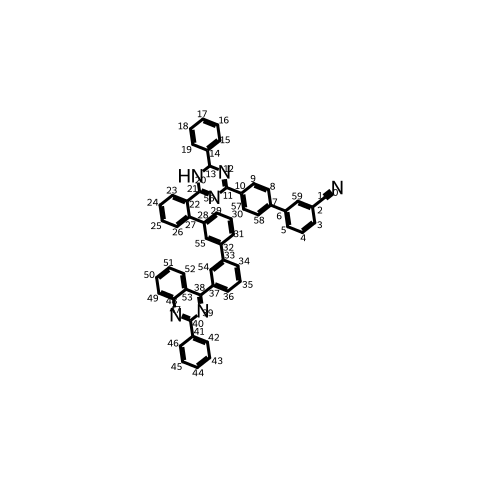 N#Cc1cccc(-c2ccc(C3=NC(c4ccccc4)NC(c4ccccc4-c4cccc(-c5cccc(-c6nc(-c7ccccc7)nc7ccccc67)c5)c4)=N3)cc2)c1